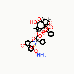 COc1ccc(C2OC(C(=O)O[C@H]3C[C@@]4(O)[C@@H](OC(=O)c5ccccc5)[C@@H]5[C@]6(OC(C)=O)CO[C@@H]6C[C@H](C)[C@@]5(C)C(=O)[C@H](O)C(=C3C)C4(C)C)[C@H](c3ccccc3)N2Sc2ccccc2OON)c(OC)c1